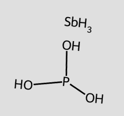 OP(O)O.[SbH3]